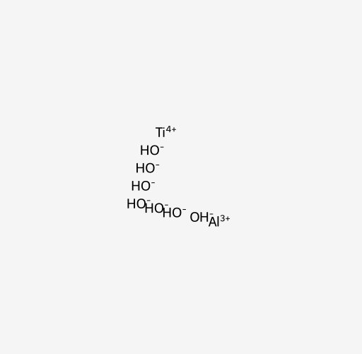 [Al+3].[OH-].[OH-].[OH-].[OH-].[OH-].[OH-].[OH-].[Ti+4]